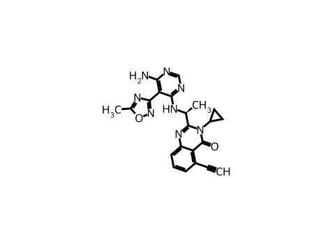 C#Cc1cccc2nc([C@H](C)Nc3ncnc(N)c3-c3noc(C)n3)n(C3CC3)c(=O)c12